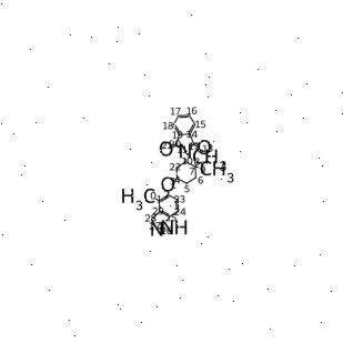 Cc1c(O[C@@H]2CCC(C)(C)[C@H](N3C(=O)c4ccccc4C3=O)C2)ccc2[nH]ncc12